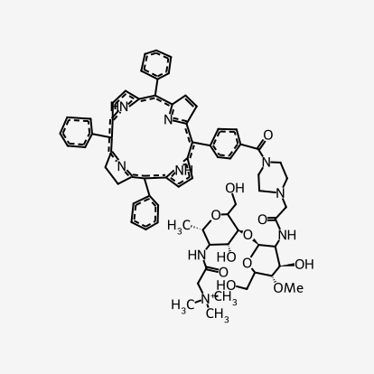 CO[C@@H]1C(CO)O[C@@H](O[C@@H]2C(CO)O[C@@H](C)C(NC(=O)C[N+](C)(C)C)[C@H]2O)C(NC(=O)CN2CCN(C(=O)c3ccc(-c4c5nc(c(-c6ccccc6)c6ccc([nH]6)c(-c6ccccc6)c6nc(c(-c7ccccc7)c7ccc4[nH]7)CC6)C=C5)cc3)CC2)[C@H]1O